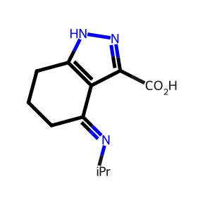 CC(C)N=C1CCCc2[nH]nc(C(=O)O)c21